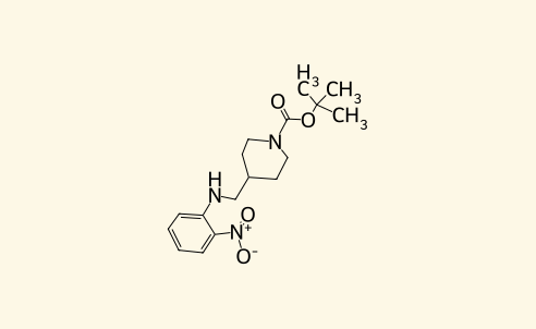 CC(C)(C)OC(=O)N1CCC(CNc2ccccc2[N+](=O)[O-])CC1